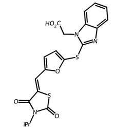 CC(C)N1C(=O)S/C(=C\c2ccc(Sc3nc4ccccc4n3CC(=O)O)o2)C1=O